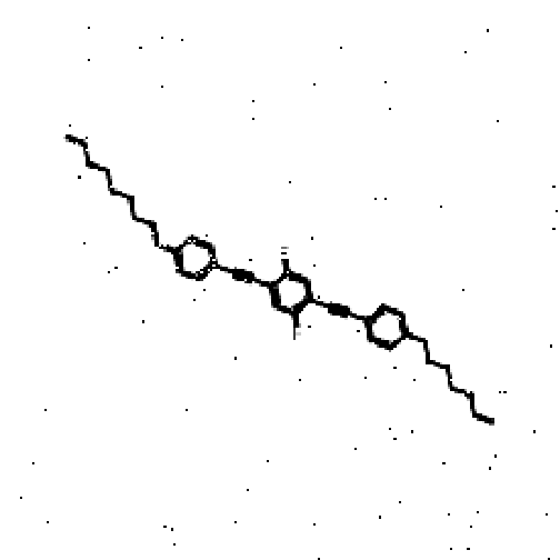 CCCCCCCCCc1ccc(C#Cc2cc(F)c(C#Cc3ccc(CCCCCCC)cc3)cc2F)cc1